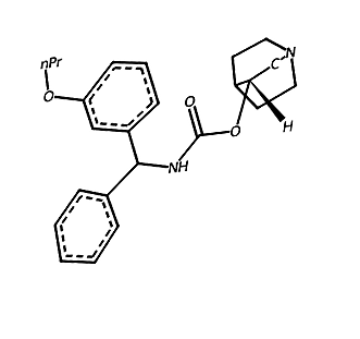 [CH2]CCOc1cccc(C(NC(=O)O[C@H]2CN3CCC2CC3)c2ccccc2)c1